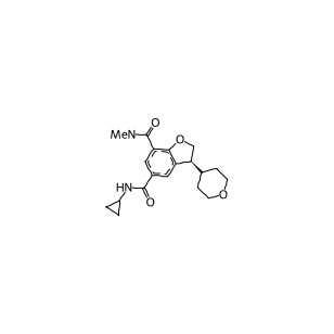 CNC(=O)c1cc(C(=O)NC2CC2)cc2c1OC[C@H]2C1CCOCC1